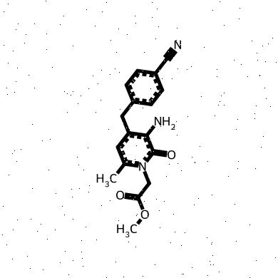 COC(=O)Cn1c(C)cc(Cc2ccc(C#N)cc2)c(N)c1=O